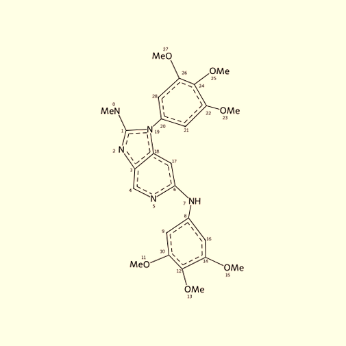 CNc1nc2cnc(Nc3cc(OC)c(OC)c(OC)c3)cc2n1-c1cc(OC)c(OC)c(OC)c1